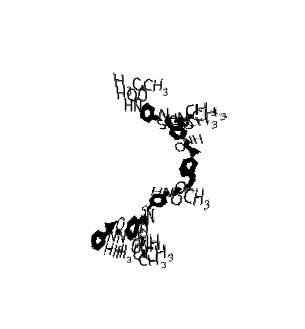 CC(C)OC(O)NC1CCC(c2ncc(-c3ccc(NC(=O)C4C[C@H]4c4cccc(CC(C)OC(=O)NC5CCC(c6ncc(-c7ccc(NC(=O)NC8(c9ccccc9)CC8)cc7S(=O)(=O)NC(C)(C)C)s6)CC5)c4)cc3S(=O)(=O)NC(C)(C)C)s2)CC1